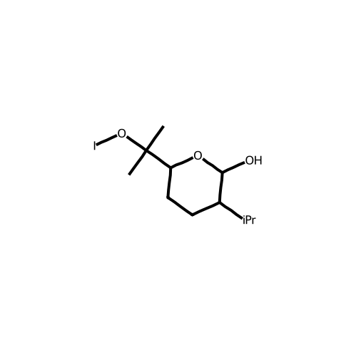 CC(C)C1CCC(C(C)(C)OI)OC1O